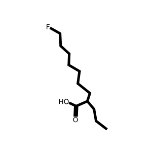 CCCC(CCCCCCCF)C(=O)O